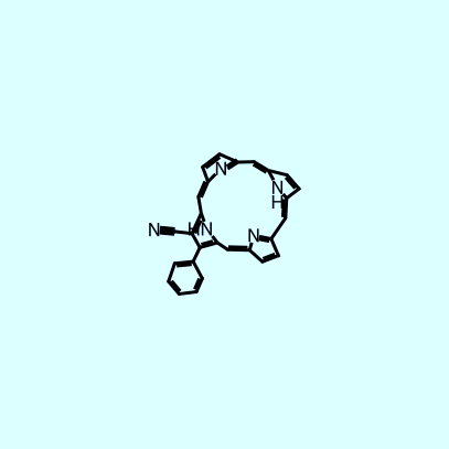 N#Cc1c(-c2ccccc2)c2cc3nc(cc4ccc(cc5nc(cc1[nH]2)C=C5)[nH]4)C=C3